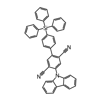 N#Cc1cc(-n2c3ccccc3c3ccccc32)c(C#N)cc1-c1ccc([Si](c2ccccc2)(c2ccccc2)c2ccccc2)cc1